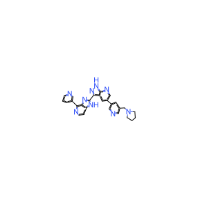 c1cncc(-c2nccc3[nH]c(-c4n[nH]c5ncc(-c6cncc(CN7CCCC7)c6)cc45)nc23)c1